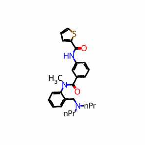 CCCN(CCC)Cc1ccccc1N(C)C(=O)c1cccc(NC(=O)c2cccs2)c1